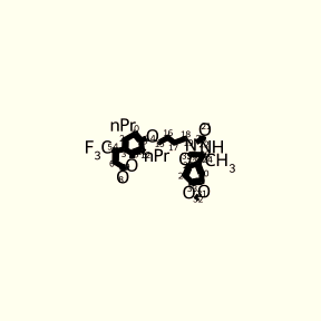 CCCc1cc2c(C(F)(F)F)cc(=O)oc2c(CCC)c1OCCCCN1C(=O)NC(C)(c2ccc3c(c2)OCO3)C1=O